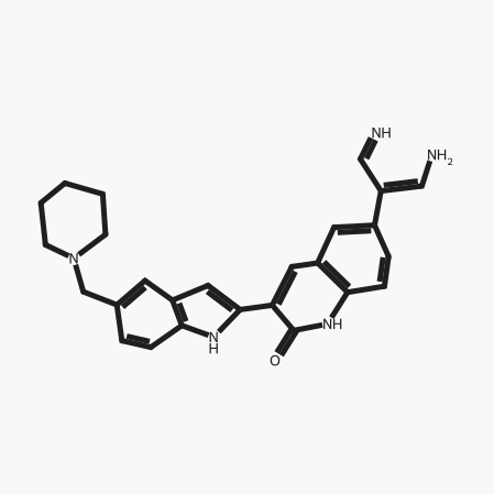 N=C/C(=C\N)c1ccc2[nH]c(=O)c(-c3cc4cc(CN5CCCCC5)ccc4[nH]3)cc2c1